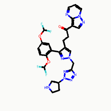 O=C(CCc1cn(Cc2nnn(C3CCNC3)n2)nc1-c1cc(OC(F)F)ccc1OC(F)F)c1cnn2cccnc12